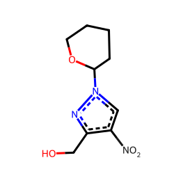 O=[N+]([O-])c1cn(C2CCCCO2)nc1CO